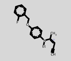 C#C/C=C(/C)N(CC)c1ccc(OCc2ccccc2F)cc1